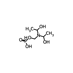 CC(O)N(CO[PH](=O)O)C(C)O